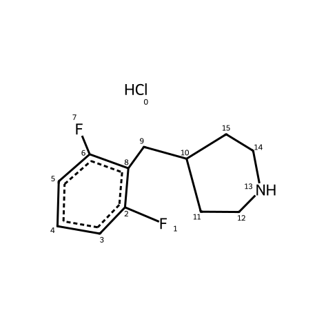 Cl.Fc1cccc(F)c1CC1CCNCC1